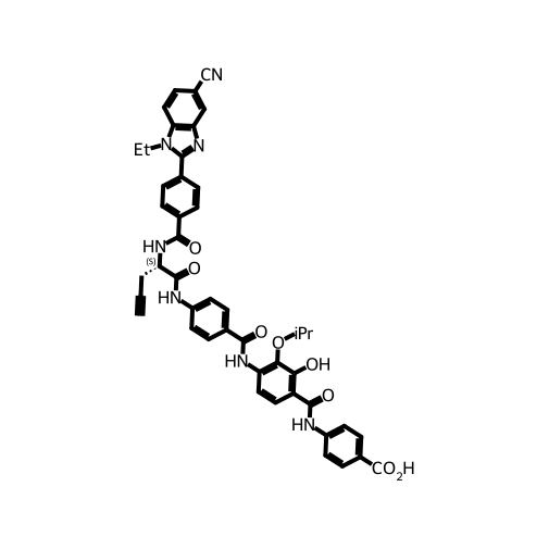 C#CC[C@H](NC(=O)c1ccc(-c2nc3cc(C#N)ccc3n2CC)cc1)C(=O)Nc1ccc(C(=O)Nc2ccc(C(=O)Nc3ccc(C(=O)O)cc3)c(O)c2OC(C)C)cc1